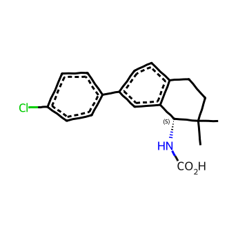 CC1(C)CCc2ccc(-c3ccc(Cl)cc3)cc2[C@H]1NC(=O)O